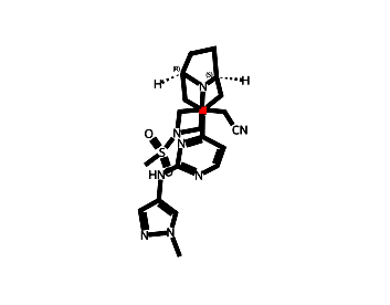 Cn1cc(Nc2nccc(N3C[C@H]4CC[C@@H](C3)N4C3(CC#N)CN(S(C)(=O)=O)C3)n2)cn1